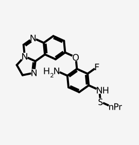 CCCSNc1ccc(N)c(Oc2ccc3c(c2)C2=NCCN2C=N3)c1F